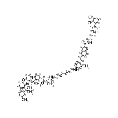 Cc1ccc2c(c1)C(C)(C)C1=[N+]2CCC2OC3CCN4C(=C3C=C12)C(C)(C)c1cc(CC(=O)N(C)CC(=O)NCCOCCOCCNC(=O)CN(C)C(=O)/C=C/c2ccc3sc(C(=O)NCCCCN5CCN(c6cccc(Cl)c6Cl)CC5)cc3c2)ccc14